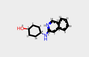 O[C@H]1CC[C@H](Nc2cc3ccccc3cn2)CC1